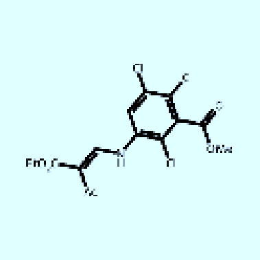 CCOC(=O)C(=CNc1cc(Cl)c(Cl)c(C(=O)OC)c1Cl)C(C)=O